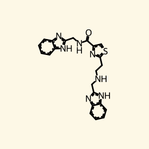 O=C(NCc1nc2ccccc2[nH]1)c1csc(CCNCc2nc3ccccc3[nH]2)n1